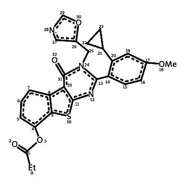 CCC(=O)Oc1cccc2c1sc1nc(-c3ccc(OC)cc3C3CC3)n(Cc3cnco3)c(=O)c12